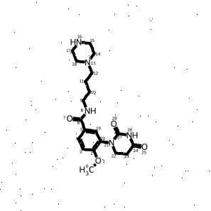 COc1ccc(C(=O)NCCCCN2CCNCC2)cc1N1CCC(=O)NC1=O